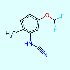 Cc1ccc(OC(F)F)cc1NC#N